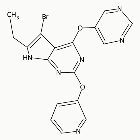 CCc1[nH]c2nc(Oc3cccnc3)nc(Oc3cncnc3)c2c1Br